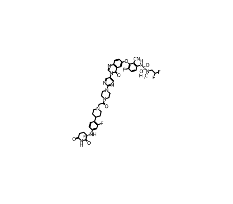 CN(CC(F)F)S(=O)(=O)Nc1ccc(F)c(Oc2ccc3ncn(-c4cnc(N5CCN(C(=O)CN6CCC(c7ccc(N[C@@H]8CCC(=O)NC8=O)cc7F)CC6)CC5)nc4)c(=O)c3c2)c1C#N